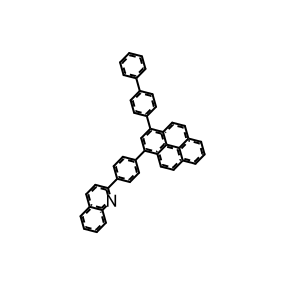 c1ccc(-c2ccc(-c3cc(-c4ccc(-c5ccc6ccccc6n5)cc4)c4ccc5cccc6ccc3c4c65)cc2)cc1